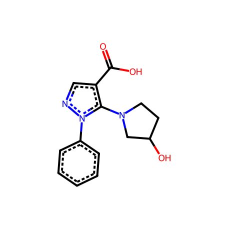 O=C(O)c1cnn(-c2ccccc2)c1N1CCC(O)C1